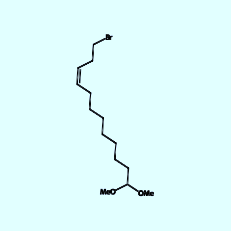 COC(CCCCCCC/C=C\CCBr)OC